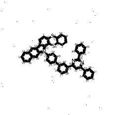 C1=CCC2Sc3c(ccc4c5cc6ccccc6cc5n(-c5ccc(-c6cccc(-c7cc(-c8ccccc8)nc(-c8ccccc8)n7)c6)cc5)c34)SC2=C1